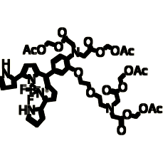 CC(=O)OCOC(=O)CN(CCOCCOc1cc(C2=C3C=CC(c4ccc[nH]4)=[N+]3[B-](F)(F)n3c2ccc3-c2ccc[nH]2)ccc1N(CC(=O)OCOC(C)=O)CC(=O)OCOC(C)=O)CC(=O)OCOC(C)=O